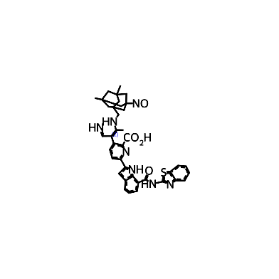 C/C(NCC12CC3(C)CC(C)(C1)CC(N=O)(C3)C2)=C(/C=N)c1ccc(-c2cc3cccc(C(=O)Nc4nc5ccccc5s4)c3[nH]2)nc1C(=O)O